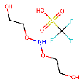 O=S(=O)(O)C(F)(F)F.OCCONOCCO